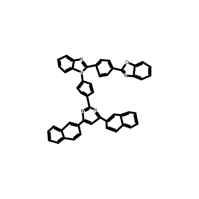 c1ccc2cc(-c3cc(-c4ccc5ccccc5c4)nc(-c4ccc(-n5c(-c6ccc(-c7nc8ccccc8o7)cc6)nc6ccccc65)cc4)n3)ccc2c1